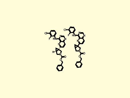 O=C(OCc1ccccc1)N1CC2CC2(c2ccc3ncnc(Nc4cccc(Cl)c4F)c3n2)C1.O=C(OCc1ccccc1)N1C[C@H]2C[C@@]2(c2ccc3ncnc(Nc4cccc(Cl)c4F)c3n2)C1